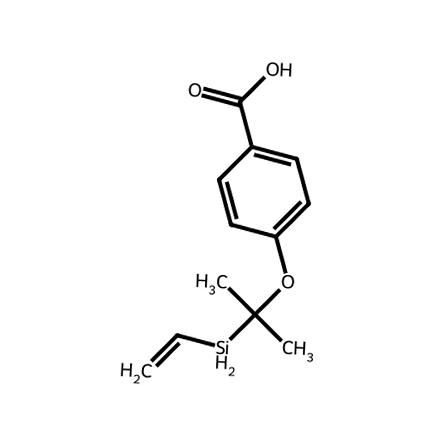 C=C[SiH2]C(C)(C)Oc1ccc(C(=O)O)cc1